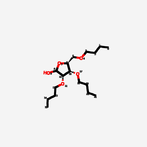 CCCCOC[C@H]1OC(O)[C@@H](OCCCC)[C@H]1OCCCC